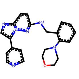 c1ccc(N2CCOCC2)c(CNc2ccc3ncc(-c4ccncc4)n3n2)c1